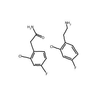 NC(=O)Cc1ccc(F)cc1Cl.NCCc1ccc(F)cc1Cl